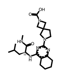 CNC(=O)[C@H](CC(C)C)Nc1nc(N2CCC3(CN(C(=O)O)C3)C2)nc2c1CCCC2